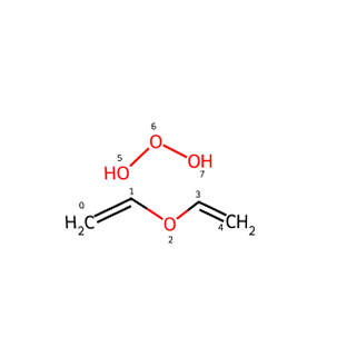 C=COC=C.OOO